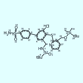 CC(C)(C)[S+]([O-])NCc1cc(-c2ccc(S(N)(=O)=O)cc2)cc(Cl)c1Sc1ncccc1CO[Si](C)(C)C(C)(C)C